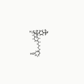 CCN(CCO)CCCCCC1CCC(CN(C)S(=O)(=O)c2ccc(C(F)(F)F)cc2)CC1